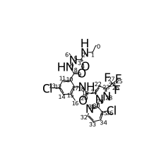 CCNC(=O)N(C)NC(=O)c1cc(Cl)cc(C)c1NC(=O)c1cc(C(F)(F)F)nn1-c1ncccc1Cl